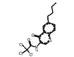 CCCCc1ccc2scc(NC(=O)C(Cl)(Cl)Cl)c(=O)c2c1